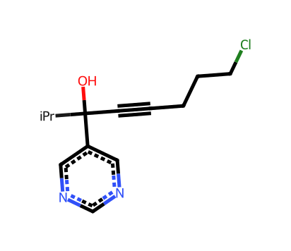 CC(C)C(O)(C#CCCCCl)c1cncnc1